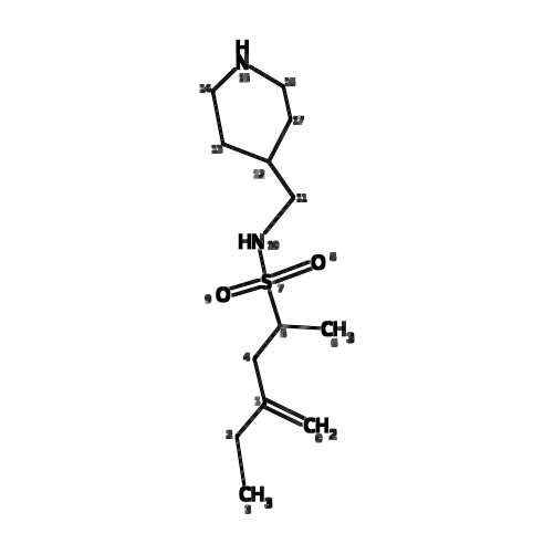 C=C(CC)CC(C)S(=O)(=O)NCC1CCNCC1